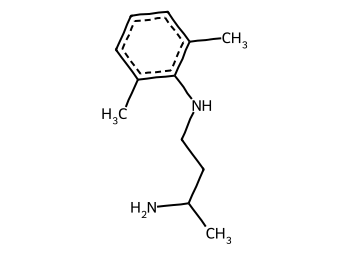 Cc1cccc(C)c1NCCC(C)N